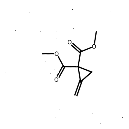 C=C1CC1(C(=O)OC)C(=O)OC